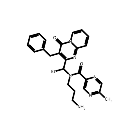 CCC(c1nc2ccccn2c(=O)c1Cc1ccccc1)N(CCCN)C(=O)c1cnc(C)cn1